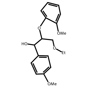 CCOCC(Oc1ccccc1OC)C(O)c1ccc(OC)cc1